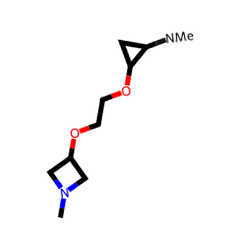 CNC1CC1OCCOC1CN(C)C1